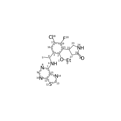 CCOc1c(C(C)Nc2ncnc3scnc23)cc(Cl)c(F)c1C1CNC(=O)C1